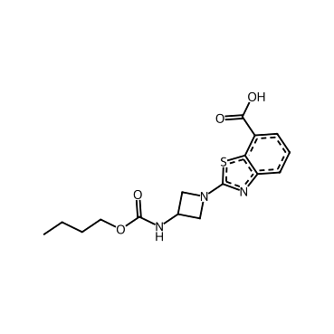 CCCCOC(=O)NC1CN(c2nc3cccc(C(=O)O)c3s2)C1